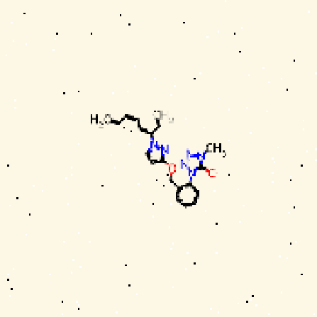 C=C/C=C\C=C(/C=C)n1ccc(OCc2ccccc2-n2nnn(C)c2=O)n1